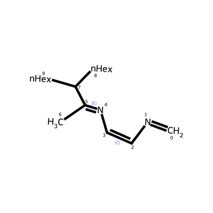 C=N/C=C\N=C(/C)C(CCCCCC)CCCCCC